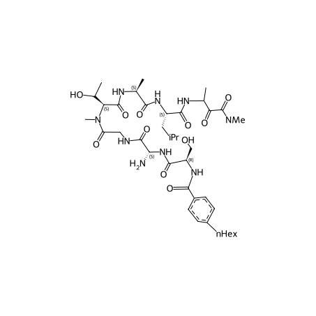 CCCCCCc1ccc(C(=O)N[C@H](CO)C(=O)N[C@H](N)C(=O)NCC(=O)N(C)[C@H](C(=O)N[C@@H](C)C(=O)N[C@@H](CC(C)C)C(=O)NC(C)C(=O)C(=O)NC)C(C)O)cc1